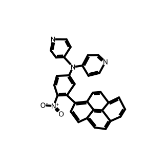 O=[N+]([O-])c1ccc(N(c2ccncc2)c2ccncc2)cc1-c1ccc2ccc3cccc4ccc1c2c34